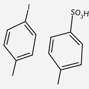 Cc1ccc(I)cc1.Cc1ccc(S(=O)(=O)O)cc1